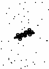 CCCC(=O)C(=O)c1ccc2c(c1)C(C)(C)c1cc(C(=O)C(=O)OCC)ccc1-2